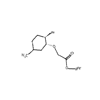 CC1CC[C@@H](C(C)C)[C@H](OCC(=O)OC(C)C)C1